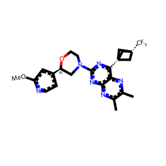 COc1cc([C@@H]2CN(c3nc4nc(C)c(C)nc4c([C@]45C[C@](C(F)(F)F)(C4)C5)n3)CCO2)ccn1